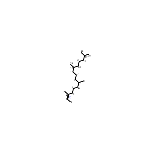 [CH2]/C=C(/C)CCCC(C)CCCC(C)CCCC(C)C